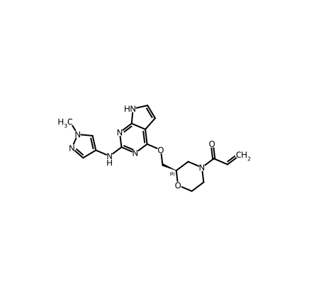 C=CC(=O)N1CCO[C@@H](COc2nc(Nc3cnn(C)c3)nc3[nH]ccc23)C1